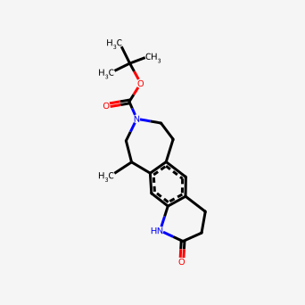 CC1CN(C(=O)OC(C)(C)C)CCc2cc3c(cc21)NC(=O)CC3